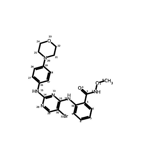 CONC(=O)c1ccccc1Nc1nc(Nc2ccc(N3CCOCC3)cc2)ncc1Br